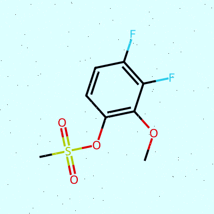 COc1c(OS(C)(=O)=O)ccc(F)c1F